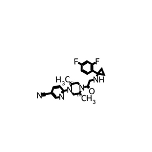 C[C@H]1CN(c2ccc(C#N)cn2)[C@@H](C)CN1C(=O)CNC1(c2ccc(F)cc2F)CC1